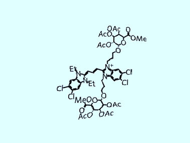 CCN1C(=CC=Cc2n(CCCO[C@@H]3OC(C(=O)OC)[C@@H](OC(C)=O)[C@H](OC(C)=O)C3OC(C)=O)c3cc(Cl)c(Cl)cc3[n+]2CCCO[C@H]2OC(C(=O)OC)[C@H](OC(C)=O)C(OC(C)=O)[C@H]2OC(C)=O)N(CC)c2cc(Cl)c(Cl)cc21